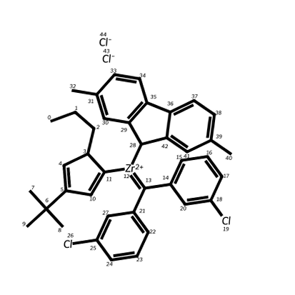 CCCC1C=C(C(C)(C)C)C=[C]1[Zr+2](=[C](c1cccc(Cl)c1)c1cccc(Cl)c1)[CH]1c2cc(C)ccc2-c2ccc(C)cc21.[Cl-].[Cl-]